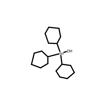 [OH][Sn]([CH]1CCCCC1)([CH]1CCCCC1)[CH]1CCCCC1